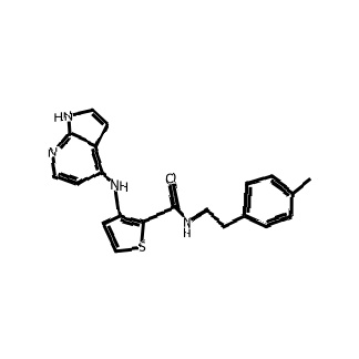 Cc1ccc(CCNC(=O)c2sccc2Nc2ccnc3[nH]ccc23)cc1